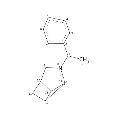 CC(c1ccccc1)N1CC2CC3C2P31